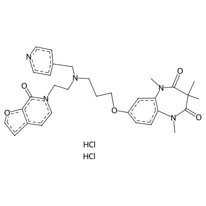 CN1C(=O)C(C)(C)C(=O)N(C)c2cc(OCCCN(CCn3ccc4ccoc4c3=O)Cc3ccncc3)ccc21.Cl.Cl